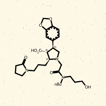 CCCCN(CCCO)C(=O)CN1C[C@H](c2ccc3c(c2)OCO3)[C@@H](C(=O)O)[C@@H]1CCCN1CCCC1=O